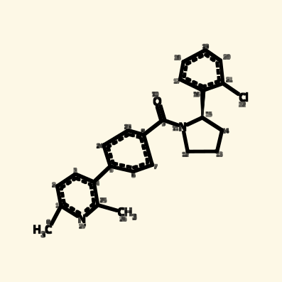 Cc1ccc(-c2ccc(C(=O)N3CCC[C@@H]3c3ccccc3Cl)cc2)c(C)n1